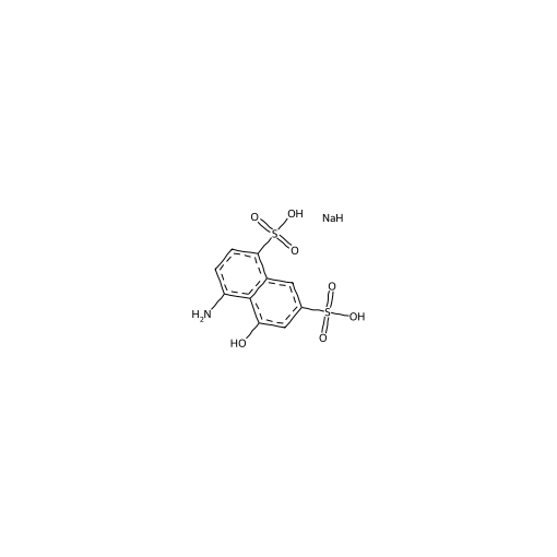 Nc1ccc(S(=O)(=O)O)c2cc(S(=O)(=O)O)cc(O)c12.[NaH]